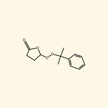 CC(C)(OOC1CCC(=O)O1)c1ccccc1